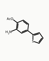 CC(=O)Oc1ccc(-c2cccs2)cc1N